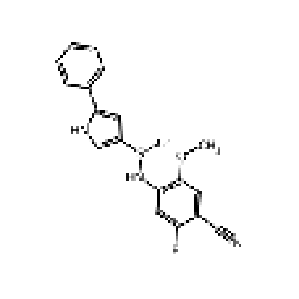 COc1cc(C#N)c(F)cc1N[S+]([O-])c1c[nH]c(-c2ccccc2)c1